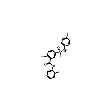 Cc1ccccc1NC(=O)c1cc(S(=O)(=O)Nc2ccc(Br)cc2)ccc1Cl